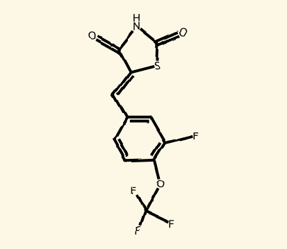 O=C1NC(=O)C(=Cc2ccc(OC(F)(F)F)c(F)c2)S1